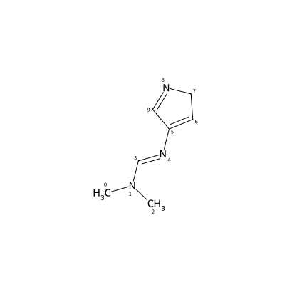 CN(C)C=NC1=CCN=C1